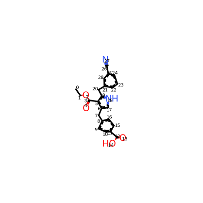 CCOC(=O)c1c(Cc2ccc(C(=O)O)cc2)c[nH]c1Cc1cccc(C#N)c1